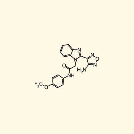 Nc1nonc1-c1nc2ccccc2n1CC(=O)Nc1ccc(OC(F)(F)F)cc1